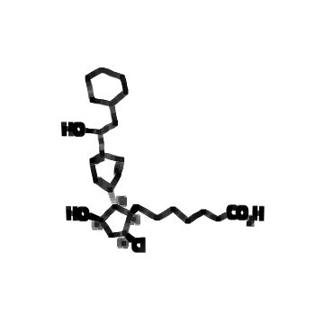 O=C(O)CCCCCC[C@@H]1[C@@H](c2ccc(C(O)CC3CCCCC3)cc2)[C@H](O)C[C@@H]1Cl